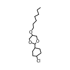 CCCCCCCOC1COC(C2CCC(Cl)CC2)OC1